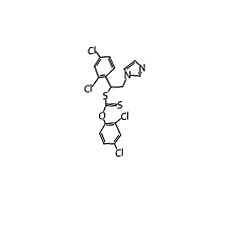 S=C(Oc1ccc(Cl)cc1Cl)SC(Cn1ccnc1)c1ccc(Cl)cc1Cl